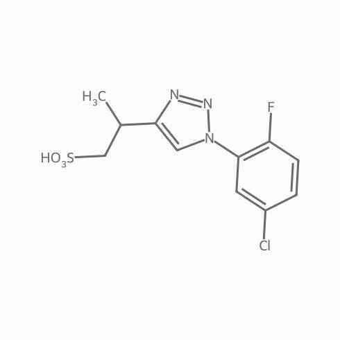 CC(CS(=O)(=O)O)c1cn(-c2cc(Cl)ccc2F)nn1